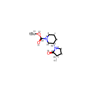 C[C@H]1CCN([C@H]2CCCN(C(=O)OC(C)(C)C)C2)C1=O